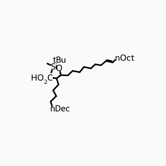 CCCCCCCC/C=C/CCCCCCCC(O[Si](C)(C)C(C)(C)C)C(CCCCCCCCCCCCCC)C(=O)O